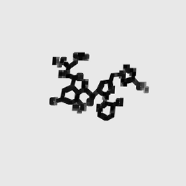 CSC[C@H](C)NC(=O)c1cc(Cl)cc(C)c1NC(=O)c1cc(Cn2nnc(C(F)(F)F)n2)nn1-c1ncccc1Cl